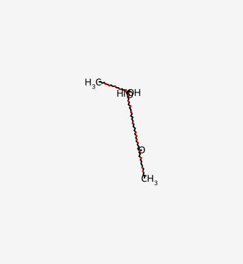 CCCCCCCCCCCCCCCC[C@@H](CO)NC(=O)CCCCCCCCCCCCCCCCCCCCCCCCCCCCCC(=O)CCCCCCCCCCCCCCC